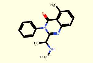 Cc1cccc2nc(C(C)NC(=O)O)n(-c3ccccc3)c(=O)c12